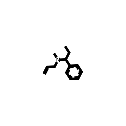 C=CCN(C)C(CC)c1ccccc1